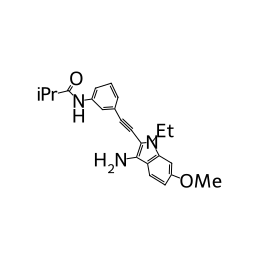 CCn1c(C#Cc2cccc(NC(=O)C(C)C)c2)c(N)c2ccc(OC)cc21